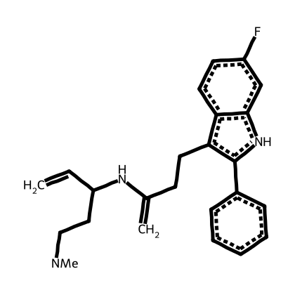 C=CC(CCNC)NC(=C)CCc1c(-c2ccccc2)[nH]c2cc(F)ccc12